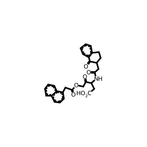 O=C(O)CC(NC(=O)CC1CCc2ccccc2C1=O)C(=O)COC(=O)Cc1cccc2ccccc12